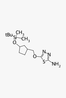 CC(C)(C)[Si](C)(C)OC1CCC(COc2nnc(N)s2)C1